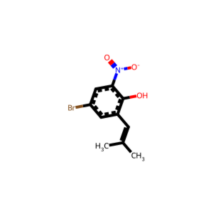 CC(C)=Cc1cc(Br)cc([N+](=O)[O-])c1O